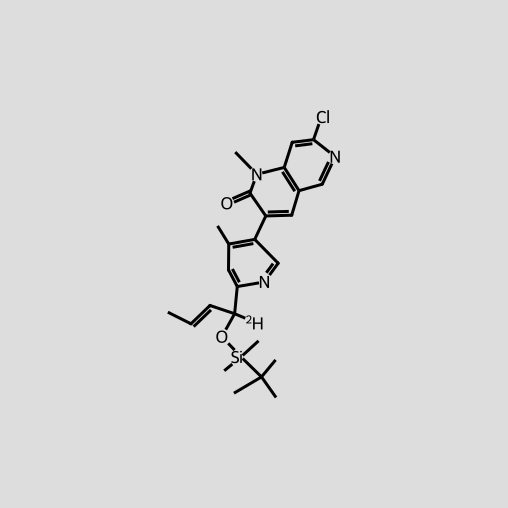 [2H]C(C=CC)(O[Si](C)(C)C(C)(C)C)c1cc(C)c(-c2cc3cnc(Cl)cc3n(C)c2=O)cn1